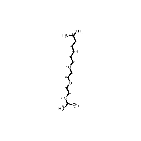 CC(C)CCNCCOCCOCCOC(C)C